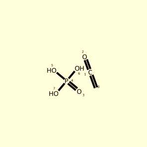 C=C=O.O=P(O)(O)O